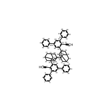 C#Cc1c(-c2ccccc2)cc(-c2ccccc2)cc1C12CC3CC(C1)CC(C14CC5CC(CC(c6cc(-c7ccccc7)cc(-c7ccccc7)c6C#C)(C5)C1)C4)(C3)C2